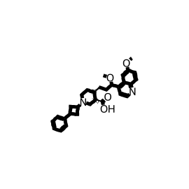 COc1ccc2nccc(C(CC[C@@H]3CCN(C4CC(c5ccccc5)C4)C[C@@H]3C(=O)O)OC)c2c1